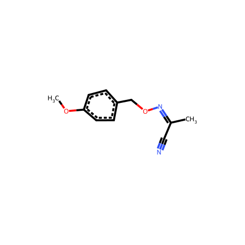 COc1ccc(CO/N=C(/C)C#N)cc1